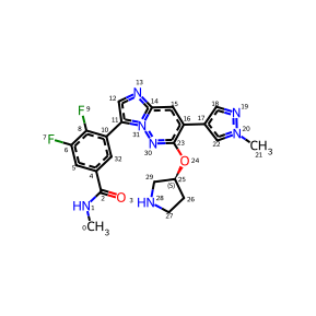 CNC(=O)c1cc(F)c(F)c(-c2cnc3cc(-c4cnn(C)c4)c(O[C@H]4CCNC4)nn23)c1